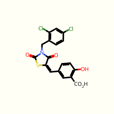 O=C(O)c1cc(C=C2SC(=O)N(Cc3ccc(Cl)cc3Cl)C2=O)ccc1O